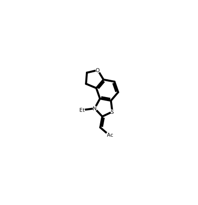 CCN1/C(=C/C(C)=O)Sc2ccc3c(c21)CCO3